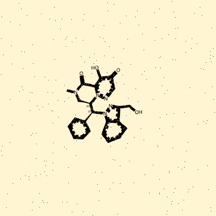 CN1C[C@H]([C@H](c2ccccc2)n2nc(CO)c3ccccc32)n2ncc(=O)c(O)c2C1=O